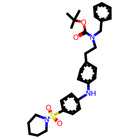 CC(C)(C)OC(=O)N(CCc1ccc(Nc2ccc(S(=O)(=O)N3CCCCC3)cc2)cc1)Cc1ccccc1